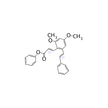 COc1cc(/C=C/c2ccccc2)c(/C=C/C(=O)Oc2ccccc2)c(OC)c1